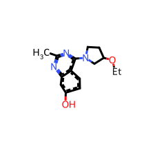 CCOC1CCN(c2nc(C)nc3cc(O)ccc23)C1